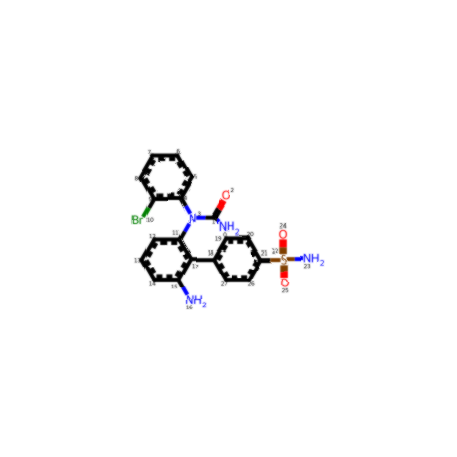 NC(=O)N(c1ccccc1Br)c1cccc(N)c1-c1ccc(S(N)(=O)=O)cc1